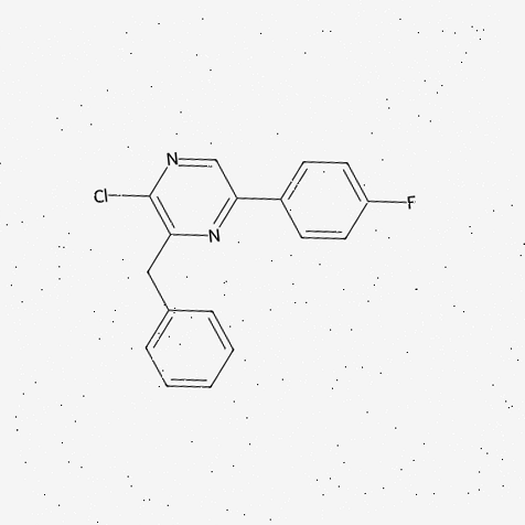 Fc1ccc(-c2cnc(Cl)c(Cc3ccccc3)n2)cc1